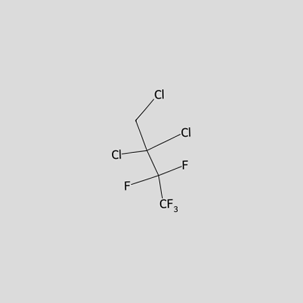 FC(F)(F)C(F)(F)C(Cl)(Cl)CCl